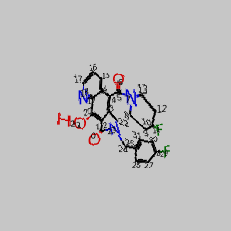 O=C1c2c(c(C(=O)N3CCC(F)CC3)c3cccnc3c2O)CN1Cc1ccc(F)cc1